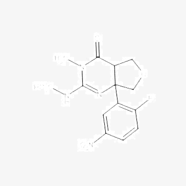 CN1C(=O)C2COCC2(c2cc([N+](=O)[O-])ccc2F)N=C1NC(=O)O